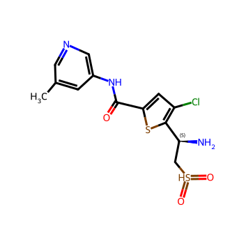 Cc1cncc(NC(=O)c2cc(Cl)c([C@@H](N)C[SH](=O)=O)s2)c1